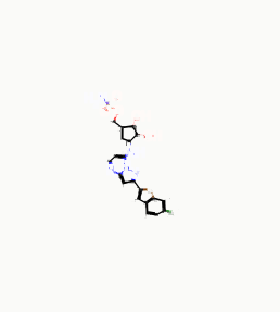 NS(=O)(=O)OCC1C[C@@H](Nc2ccnc3cc(-c4cc5ccc(Cl)cc5s4)nn23)[C@H](O)[C@@H]1O